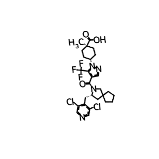 C[C@]1(C(=O)O)CC[C@H](n2ncc(C(=O)N3CC4(CCCC4)C[C@@H]3Cc3c(Cl)cncc3Cl)c2C(F)(F)F)CC1